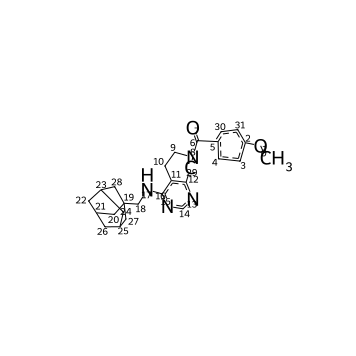 COc1ccc(C(=O)N2CCc3c(ncnc3NCC34CC5CC(CC(C5)C3)C4)C2)cc1